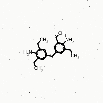 CCc1cc([CH]c2cc(CC)c(N)c(CC)c2)cc(CC)c1N